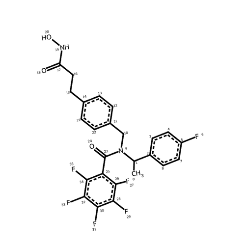 CC(c1ccc(F)cc1)N(Cc1ccc(CCC(=O)NO)cc1)C(=O)c1c(F)c(F)c(F)c(F)c1F